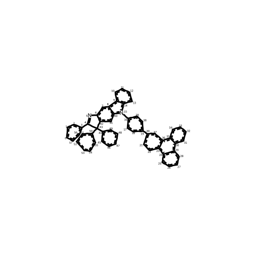 c1ccc(C2=Nc3cc4c5ccccc5n(-c5ccc(-c6ccc7c8ccccc8c8ccccc8c7c6)cc5)c4cc3C2(c2ccccc2)c2ccccc2)cc1